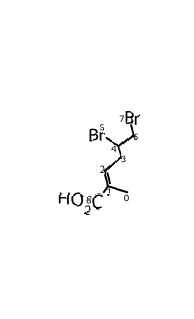 CC(=CCC(Br)CBr)C(=O)O